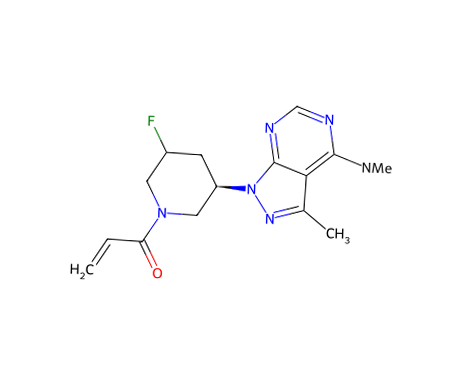 C=CC(=O)N1CC(F)C[C@@H](n2nc(C)c3c(NC)ncnc32)C1